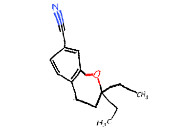 CCC1(CC)C[CH]c2ccc(C#N)cc2O1